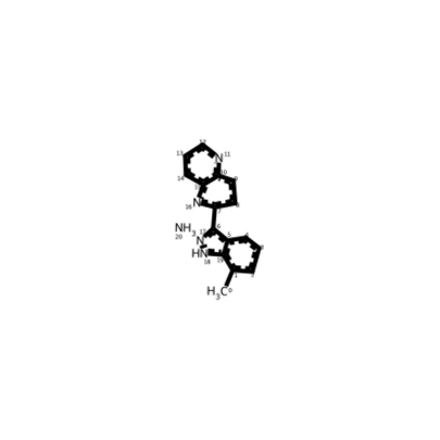 Cc1cccc2c(-c3ccc4ncccc4n3)n[nH]c12.N